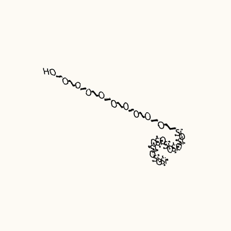 C[Si](C)(C)O[Si](C)(C)O[Si](C)(C)O[Si](C)(C)O[Si](C)(C)O[Si](C)(C)O[Si](C)(C)O[Si](C)(C)CCCOCCOCCOCCOCCOCCOCCOCCOCCOCCO